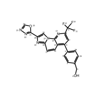 OCc1ccc(-c2cc(C(F)(F)F)nc3c2ccc2nc(-c4nnco4)cn23)cc1